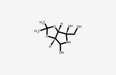 CC1(C)O[C@H]2C(O)N[C@@](O)(CO)[C@H]2O1